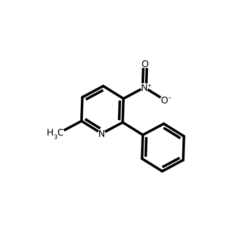 Cc1ccc([N+](=O)[O-])c(-c2ccccc2)n1